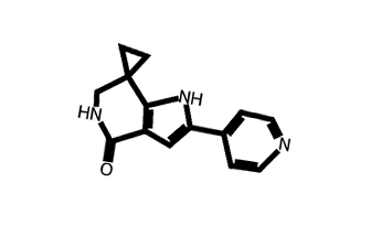 O=C1NCC2(CC2)c2[nH]c(-c3ccncc3)cc21